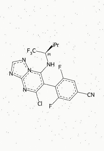 CC(C)[C@@H](Nc1c(-c2c(F)cc(C#N)cc2F)c(Cl)nc2ncnn12)C(F)(F)F